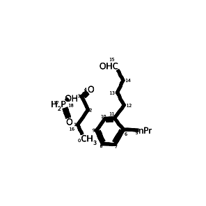 CCCC=O.CCCc1ccccc1CCCC=O.O=[PH2]O